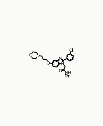 CC(C)NC(=O)Cn1c(-c2cccc(Cl)c2)nc2cc(OCCCN3CCOCC3)ccc21